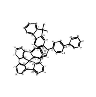 CC1(C)c2ccccc2-c2ccc(N(C=Cc3cccc4c3C3(C5=C(C=CCC5)c5ccccc53)c3ccccc3-4)c3ccc(-c4ccccc4)cc3)cc21